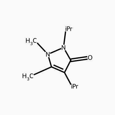 Cc1c(C(C)C)c(=O)n(C(C)C)n1C